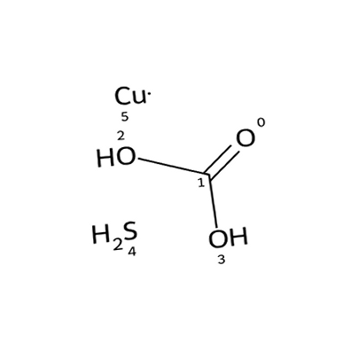 O=C(O)O.S.[Cu]